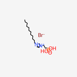 CCCCCCCCCCCCn1cc[n+](CCCP(=O)(O)O)c1.[Br-]